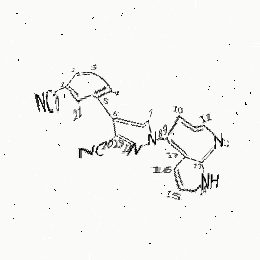 N#Cc1cccc(-c2cn(-c3ccnc4[nH]ccc34)nc2C#N)c1